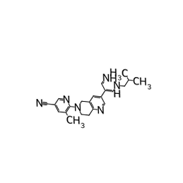 Cc1cc(C#N)cnc1N1CCc2ncc(/C(C=N)=C/NCC(C)C)cc2C1